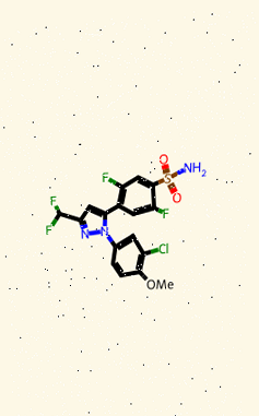 COc1ccc(-n2nc(C(F)F)cc2-c2cc(F)c(S(N)(=O)=O)cc2F)cc1Cl